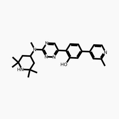 Cc1cc(-c2ccc(-c3cnc(N(C)C4CC(C)(C)NC(C)(C)C4)nn3)c(O)c2)ccn1